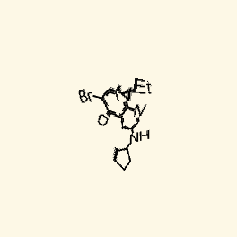 CCn1cc(Br)c(=O)c2cc(NC3CCCC3)cnc21